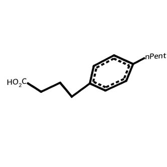 CCCCCc1ccc(CCCC(=O)O)cc1